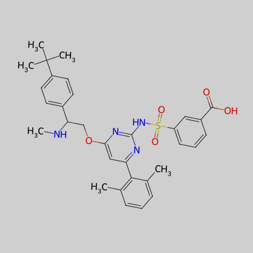 CNC(COc1cc(-c2c(C)cccc2C)nc(NS(=O)(=O)c2cccc(C(=O)O)c2)n1)c1ccc(C(C)(C)C)cc1